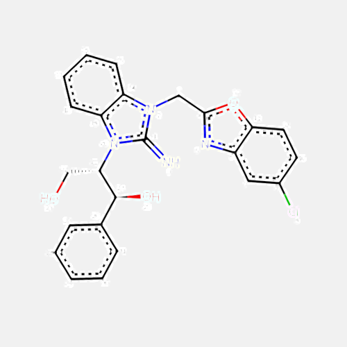 N=c1n(Cc2nc3cc(Cl)ccc3o2)c2ccccc2n1[C@@H](CO)[C@@H](O)c1ccccc1